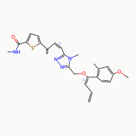 C=C/C=C(/OCc1nnc(/C=C\C(=C)c2ccc(C(=O)NC)s2)n1C)c1ccc(OC)cc1C